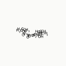 CC(C)(C)OC(=O)C(CCN1CC(COc2ccc(CC(N)(C(=O)O)C(=O)OC(C)(C)C)cc2)OC1=O)N1CCCCC1